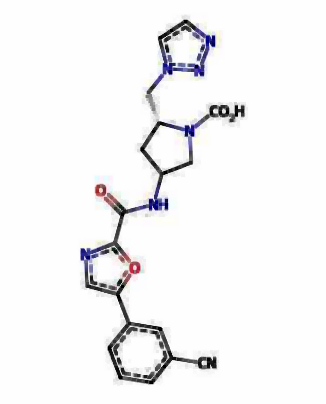 N#Cc1cccc(-c2cnc(C(=O)NC3C[C@H](Cn4ccnn4)N(C(=O)O)C3)o2)c1